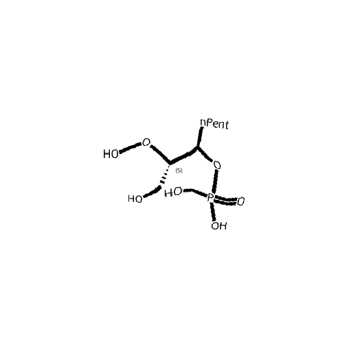 CCCCCC(OP(=O)(O)O)[C@H](CO)OO